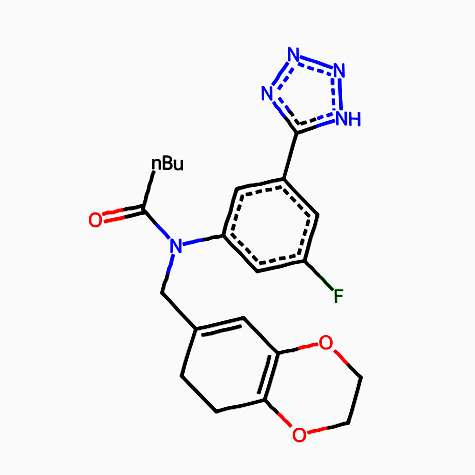 CCCCC(=O)N(CC1=CC2=C(CC1)OCCO2)c1cc(F)cc(-c2nnn[nH]2)c1